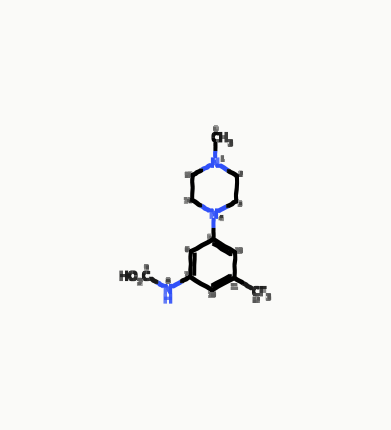 CN1CCN(c2cc(NC(=O)O)cc(C(F)(F)F)c2)CC1